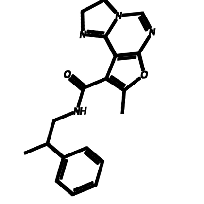 Cc1oc2c(c1C(=O)NCC(C)c1ccccc1)C1=NCCN1C=N2